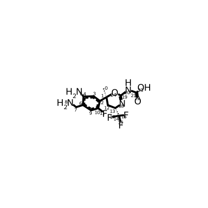 C[C@@]1(c2cc(N)c(CN)cc2F)C[C@@H](C(F)(F)F)N=C(NC(=O)O)O1